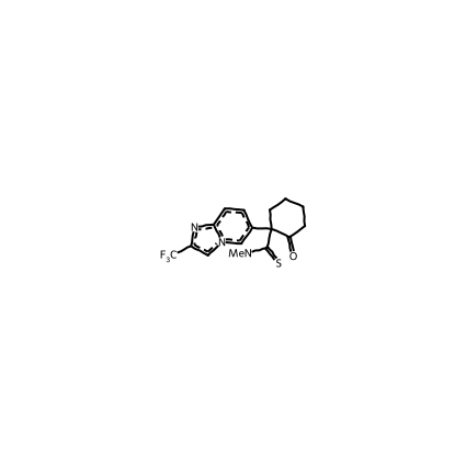 CNC(=S)C1(c2ccc3nc(C(F)(F)F)cn3c2)CCCCC1=O